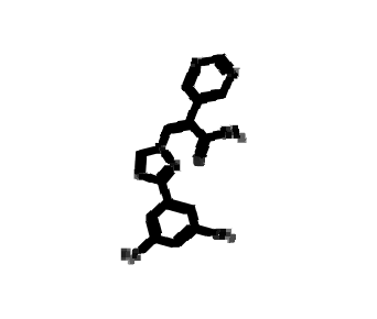 Cc1cc(C)cc(-c2ncn(C=C(C(N)=O)c3cncnc3)n2)c1